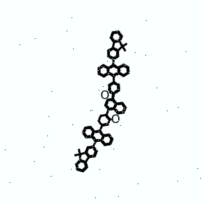 CC1(C)c2ccccc2-c2ccc(-c3c4ccccc4c(C4=CC5=C(CC4)c4cc6oc7cc(-c8c9ccccc9c(-c9ccc%10c(c9)C(C)(C)c9ccccc9-%10)c9ccccc89)ccc7c6c6cccc(c46)O5)c4ccccc34)cc21